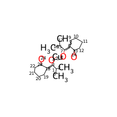 CC(C)/C([O][Cu][O]/C(=C1/CCCCC1=O)C(C)C)=C1\CCCCC1=O